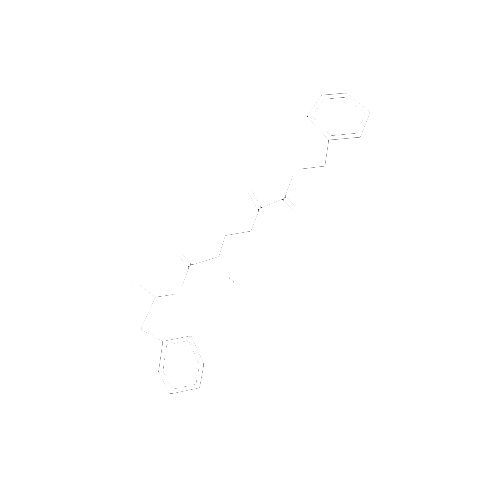 CC(Cc1ccccc1)OC(=O)[C@@H](N)CCC(=O)C(=O)OCc1ccccc1